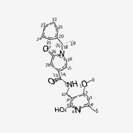 COc1cc(C)nc(O)c1CNC(=O)c1ccn([C@@H](C)c2ccccc2)c(=O)c1